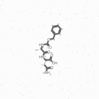 C[C@H](NC(=O)OCc1ccccc1)C(=O)N[C@@H](CC(N)=O)C(=O)O